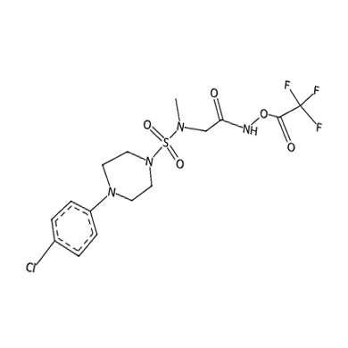 CN(CC(=O)NOC(=O)C(F)(F)F)S(=O)(=O)N1CCN(c2ccc(Cl)cc2)CC1